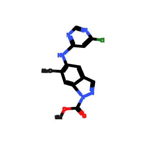 COc1cc2c(cnn2C(=O)OC(C)(C)C)cc1Nc1cc(Cl)ncn1